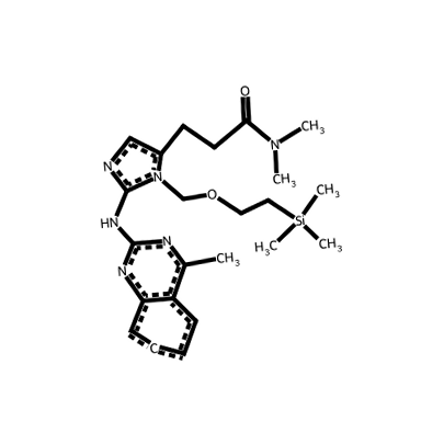 Cc1nc(Nc2ncc(CCC(=O)N(C)C)n2COCC[Si](C)(C)C)nc2ccccc12